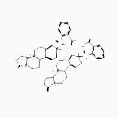 C[C@]12CC[C@@H]3C4=CCC(O)(S(=O)(=O)c5ccccc5C(=O)OOC(=O)c5ccccc5S(=O)(=O)C5(O)C=C6CC[C@@H]7[C@H](CC[C@]8(C)C(=O)CC[C@@H]78)C6=CC5)C=C4CC[C@H]3[C@@H]1CCC2=O